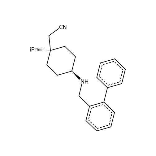 CC(C)[C@]1(CC#N)CC[C@@H](NCc2ccccc2-c2ccccc2)CC1